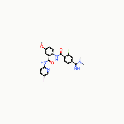 COc1ccc(NC(=O)c2ccc(C(=N)N(C)C)cc2F)c(C(=O)Nc2ccc(I)cn2)c1